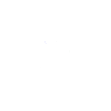 CC(C)c1cn[c]c(F)c1